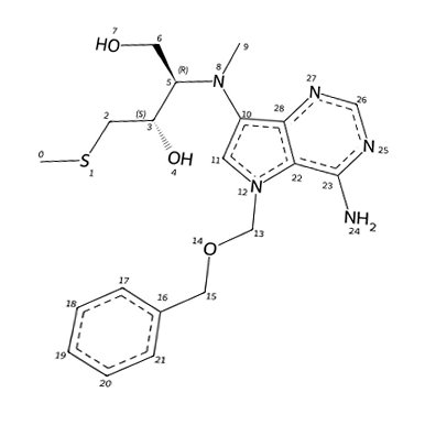 CSC[C@@H](O)[C@@H](CO)N(C)c1cn(COCc2ccccc2)c2c(N)ncnc12